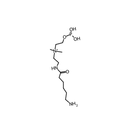 C[N+](C)(CCNC(=O)CCCCCN)CCOP(O)O